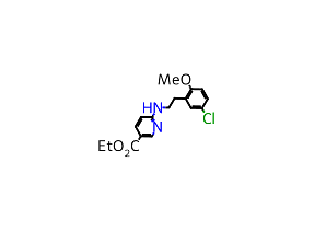 CCOC(=O)c1ccc(NCCc2cc(Cl)ccc2OC)nc1